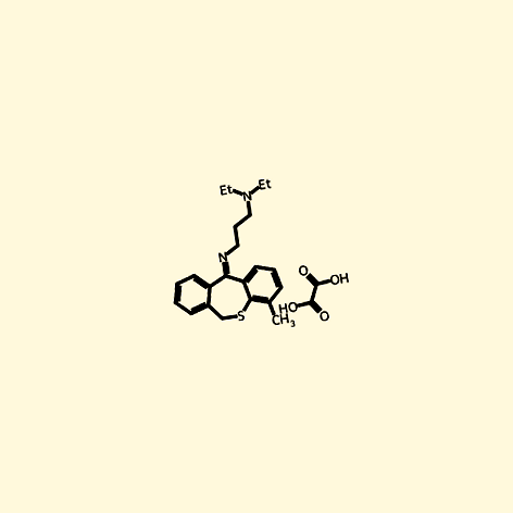 CCN(CC)CCC/N=C1/c2ccccc2CSc2c(C)cccc21.O=C(O)C(=O)O